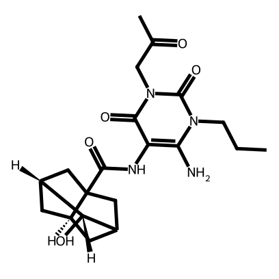 CCCn1c(N)c(NC(=O)C23CC4C[C@H]2C[C@H](C3)[C@H]4O)c(=O)n(CC(C)=O)c1=O